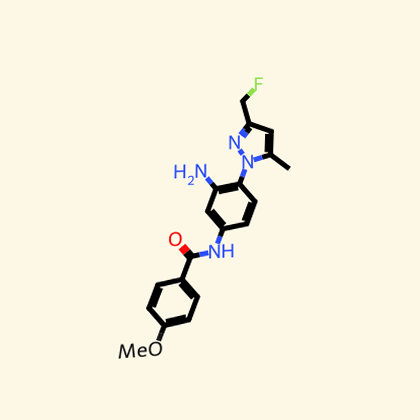 COc1ccc(C(=O)Nc2ccc(-n3nc(CF)cc3C)c(N)c2)cc1